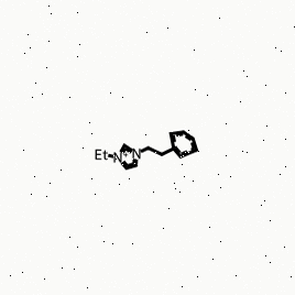 CC[n+]1ccn(CCc2ccccc2)c1